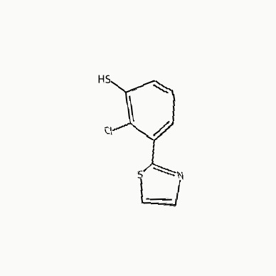 Sc1cccc(-c2nccs2)c1Cl